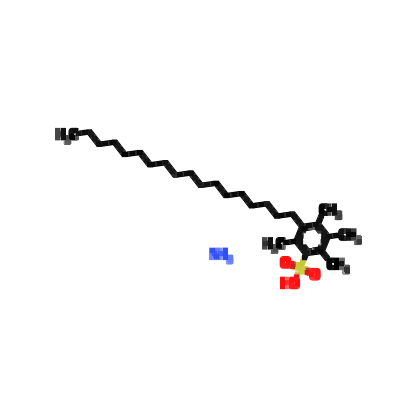 CCCCCCCCCCCCCCCCCCc1c(C)c(C)c(C)c(S(=O)(=O)O)c1C.N